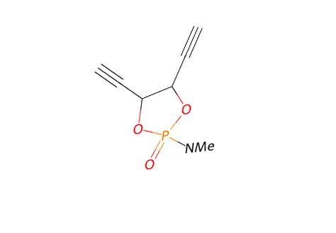 C#CC1OP(=O)(NC)OC1C#C